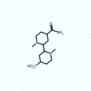 CN1CCC(C(N)=O)CC1C1CC(C(=O)O)CCN1C